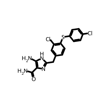 NC(=O)c1nc(Cc2ccc(Sc3ccc(Cl)cc3)c(Cl)c2)[nH]c1N